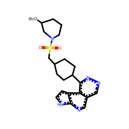 CC(C)COC1CCCN(S(=O)(=O)CC2CCC(c3nncc4cnc5[nH]ccc5c34)CC2)C1